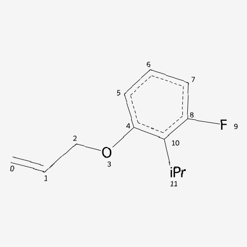 C=CCOc1cccc(F)c1C(C)C